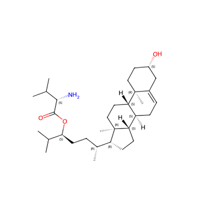 CC(C)[C@H](CC[C@@H](C)[C@H]1CC[C@H]2[C@@H]3CC=C4C[C@@H](O)CC[C@]4(C)[C@H]3CC[C@]12C)OC(=O)[C@@H](N)C(C)C